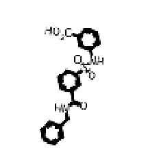 O=C(O)c1cccc(NS(=O)(=O)c2cccc(C(=O)NCc3ccccc3)c2)c1